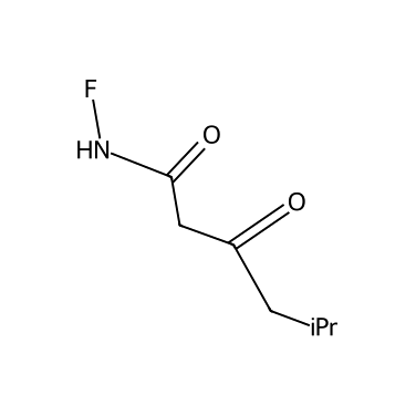 CC(C)CC(=O)CC(=O)NF